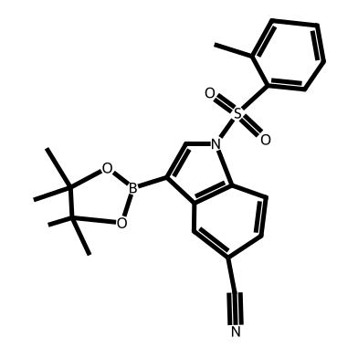 Cc1ccccc1S(=O)(=O)n1cc(B2OC(C)(C)C(C)(C)O2)c2cc(C#N)ccc21